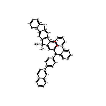 CC1(C)c2cc(N(c3ccc(-c4ccc5ccccc5c4)cc3)c3ccccc3-c3ccccc3)ccc2-c2cc3sc4ccccc4c3cc21